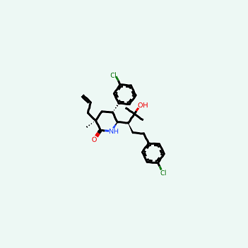 C=CC[C@@]1(C)C[C@H](c2cccc(Cl)c2)[C@@H]([C@H](CCc2ccc(Cl)cc2)C(C)(C)O)NC1=O